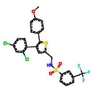 COc1ccc(-c2sc(CNS(=O)(=O)c3cccc(C(F)(F)F)c3)cc2-c2ccc(Cl)cc2Cl)cc1